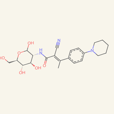 C/C(=C(/C#N)C(=O)N[C@H]1C(O)O[C@H](CO)[C@@H](O)[C@@H]1O)c1ccc(N2CCCCC2)cc1